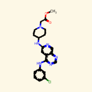 COC(=O)CN1CCC(Nc2cc3c(Nc4cccc(Cl)c4)ncnc3cn2)CC1